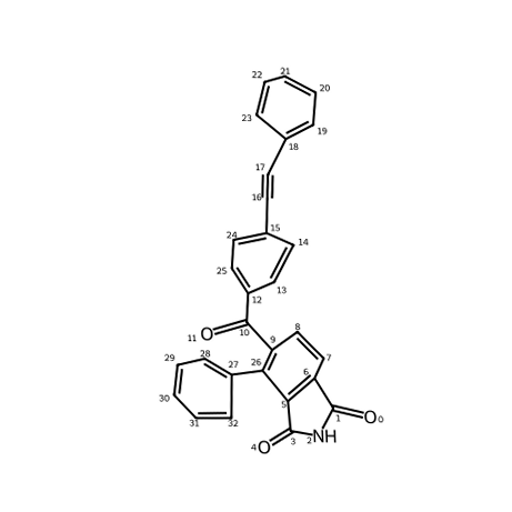 O=C1NC(=O)c2c1ccc(C(=O)c1ccc(C#Cc3ccccc3)cc1)c2-c1ccccc1